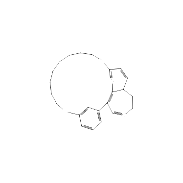 C1=CC2CCN=CC3=C2N=C1NCCCCCCCCOc1cccc3c1